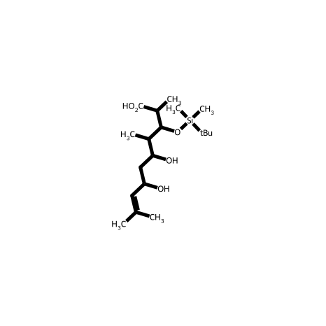 CC(C)=CC(O)CC(O)C(C)C(O[Si](C)(C)C(C)(C)C)C(C)C(=O)O